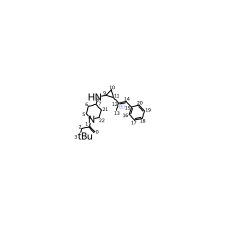 C=C(CC(C)(C)C)N1CCC(NC2CC2/C(C)=C/c2ccccc2)CC1